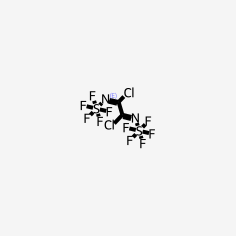 FS(F)(F)(F)(F)N=C(Cl)/C(Cl)=N\S(F)(F)(F)(F)F